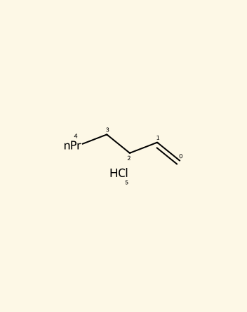 C=CCCCCC.Cl